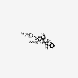 CCc1ccccc1NC(=S)Nc1ncnc2cc(OCC3CCN(C)CC3)c(OC)cc12